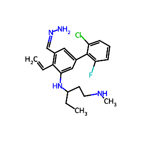 C=Cc1c(/C=N\N)cc(-c2c(F)cccc2Cl)cc1NC(CC)CCNC